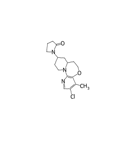 Cc1c(Cl)cnc2c1OCCC1CC(N3CCCC3=O)CCN21